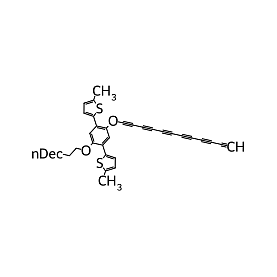 C#CC#CC#CC#CC#CC#COc1cc(-c2ccc(C)s2)c(OCCCCCCCCCCCC)cc1-c1ccc(C)s1